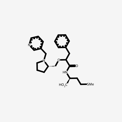 CSCC[C@H](NC(=O)C(Cc1ccccc1)OC[C@@H]1CCCN1Cc1cccnc1)C(=O)O